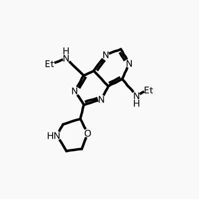 CCNc1nc(C2CNCCO2)nc2c(NCC)ncnc12